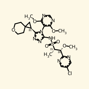 COc1ncnc(OC)c1-n1c(NS(=O)(=O)[C@@H](C)[C@H](OC)c2ncc(Cl)cn2)nnc1[C@@H]1CC12CCOCC2